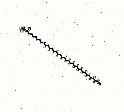 O=C(CCCCCCCCCCCCCCCCCCCCCCCCCCCCCCCCCCBr)NO